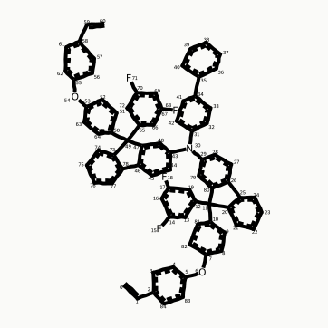 C=Cc1ccc(Oc2ccc(C3(c4cc(F)cc(F)c4)c4ccccc4-c4ccc(N(c5ccc(-c6ccccc6)cc5)c5ccc6c(c5)C(c5ccc(Oc7ccc(C=C)cc7)cc5)(c5cc(F)cc(F)c5)c5ccccc5-6)cc43)cc2)cc1